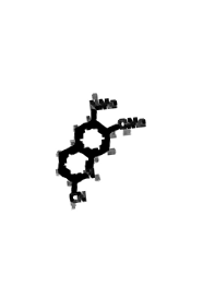 CNc1cc2ccc(C#N)nc2cc1OC